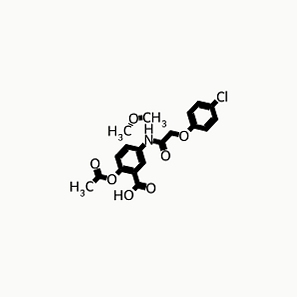 CC(=O)Oc1ccc(NC(=O)COc2ccc(Cl)cc2)cc1C(=O)O.COC